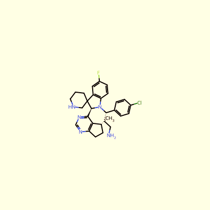 C[C@@H]1CCc2ncnc([C@@H]3N([C@@H](CCN)c4ccc(Cl)cc4)c4ccc(F)cc4C34CCCNC4)c21